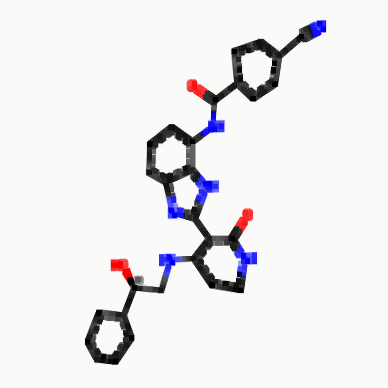 N#Cc1ccc(C(=O)Nc2cccc3nc(-c4c(NC[C@H](O)c5ccccc5)cc[nH]c4=O)[nH]c23)cc1